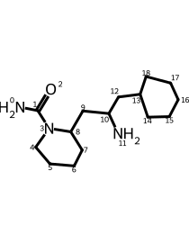 NC(=O)N1CCCCC1CC(N)CC1CCCCC1